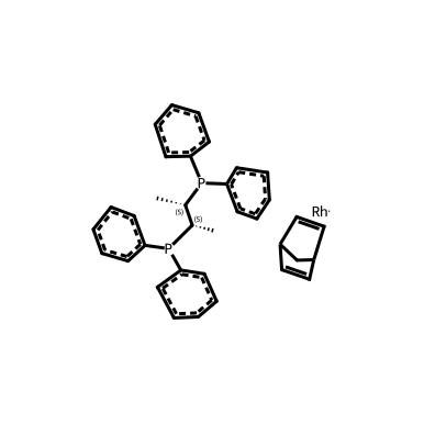 C1=CC2C=CC1C2.C[C@@H]([C@H](C)P(c1ccccc1)c1ccccc1)P(c1ccccc1)c1ccccc1.[Rh]